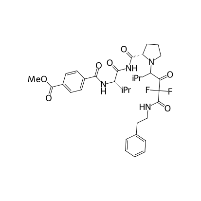 COC(=O)c1ccc(C(=O)N[C@H](C(=O)NC(=O)[C@@H]2CCCN2C(C(=O)C(F)(F)C(=O)NCCc2ccccc2)C(C)C)C(C)C)cc1